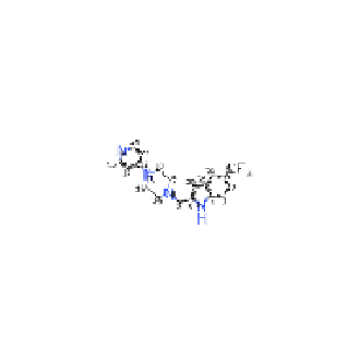 FC(F)(F)c1ccc2[nH]c(CN3CCN(c4ccncc4)CC3)cc2c1